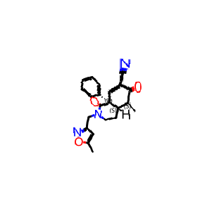 Cc1cc(CN2CC[C@H]3[C@H](C)C(=O)C(C#N)=C[C@]3(c3ccccc3)C2=O)no1